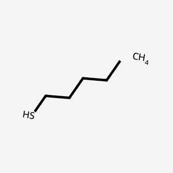 C.CCCCCS